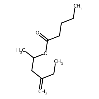 C=C(CC)CC(C)OC(=O)CCCC